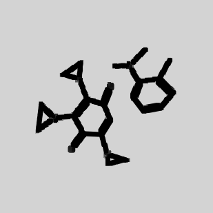 Cc1ccccc1N(C)C.O=C1C=C(N2CC2)C(=O)C(N2CC2)=C1N1CC1